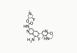 Cc1c(-c2cc3cc(NC(=O)O[C@H]4CN(C)C[C@H]4F)ncc3c(N)c2F)cnc2c1NCCO2